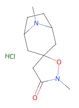 CN1OC2(CC1=O)CC1CCC(C2)N1C.Cl